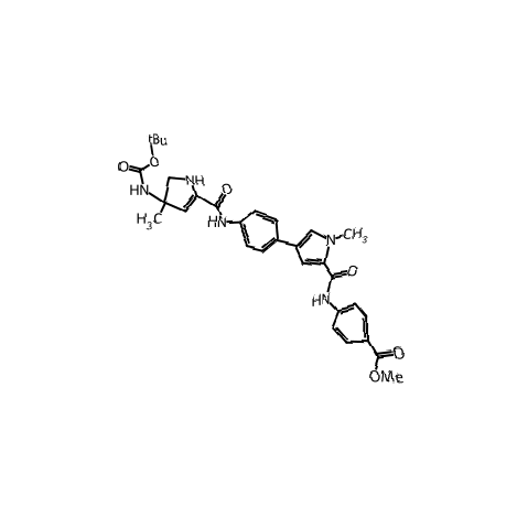 COC(=O)c1ccc(NC(=O)c2cc(-c3ccc(NC(=O)C4=CC(C)(NC(=O)OC(C)(C)C)CN4)cc3)cn2C)cc1